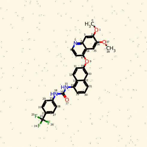 COc1cc2nccc(Oc3ccc4c(NC(=O)Nc5ccc(C(F)(F)F)cc5)cccc4c3)c2cc1OC